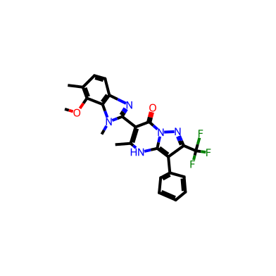 COc1c(C)ccc2nc(-c3c(C)[nH]c4c(-c5ccccc5)c(C(F)(F)F)nn4c3=O)n(C)c12